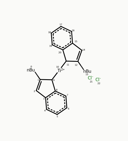 CCCCC1=Cc2ccccc2[CH]1[Ti+2][CH]1C(CCCC)=Cc2ccccc21.[Cl-].[Cl-]